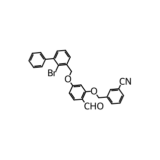 N#Cc1cccc(COc2cc(OCc3cccc(-c4ccccc4)c3Br)ccc2C=O)c1